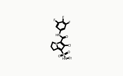 CCNS(=O)(=O)c1c(Cl)c(C(=O)Nc2cc(F)c(F)c(F)c2)n2c1CCC2